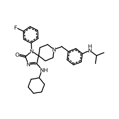 CC(C)Nc1cccc(CN2CCC3(CC2)C(NC2CCCCC2)=NC(=O)N3c2cccc(F)c2)c1